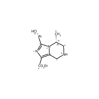 CCOC(=O)c1nc(C(C)C)n2c1CNC[C@H]2C.Cl